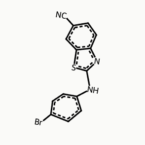 N#Cc1ccc2nc(Nc3ccc(Br)cc3)sc2c1